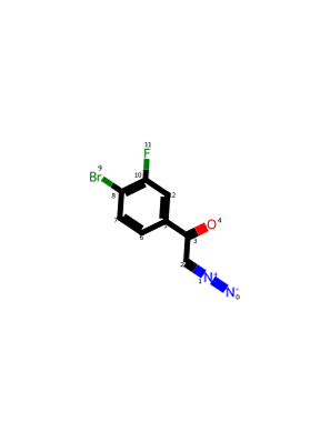 [N-]=[N+]=CC(=O)c1ccc(Br)c(F)c1